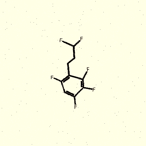 Fc1[c]c(F)c(CCC(F)F)c(F)c1F